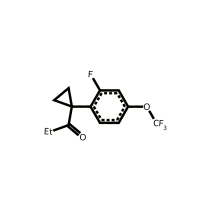 CCC(=O)C1(c2ccc(OC(F)(F)F)cc2F)CC1